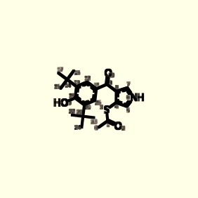 CC(=O)Sc1c[nH]cc1C(=O)c1cc(C(C)(C)C)c(O)c(C(C)(C)C)c1